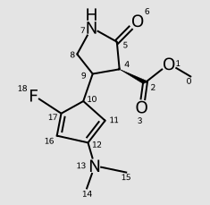 COC(=O)[C@@H]1C(=O)NCC1C1C=C(N(C)C)C=C1F